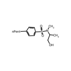 CCCCCc1ccc(S(=O)(=O)N(C)C(C)CO)cc1